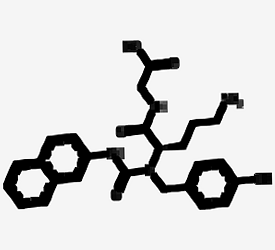 NCCC[C@H](C(=O)NCC(=O)O)N(Cc1ccc(O)cc1)C(=O)Nc1ccc2ccccc2c1